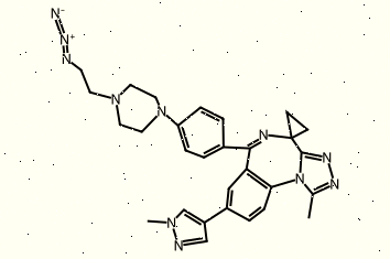 Cc1nnc2n1-c1ccc(-c3cnn(C)c3)cc1C(c1ccc(N3CCN(CCN=[N+]=[N-])CC3)cc1)=NC21CC1